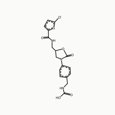 O=C(O)NCc1ccc(N2CC(CNC(=O)c3ccc(Cl)s3)OC2=O)cc1